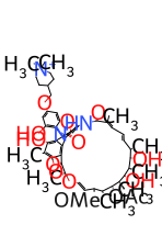 CO[C@H]1/C=C/O[C@@]2(C)Oc3c(C)c(O)c4c(=O)c(c5oc6cc(OCC7CC[N+](C)(C)CC7)cc(O)c6nc-5c4c3C2=O)NC(=O)/C(C)=C\C=C\[C@H](C)[C@H](O)[C@@H](C)[C@@H](O)[C@@H](C)[C@H](OC(C)=O)[C@@H]1C